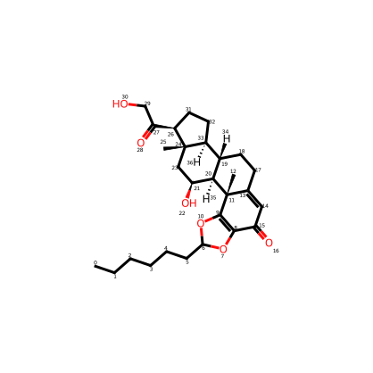 CCCCCCC1OC2=C(O1)[C@@]1(C)C(=CC2=O)CC[C@@H]2[C@@H]1[C@@H](O)C[C@]1(C)[C@@H](C(=O)CO)CC[C@@H]21